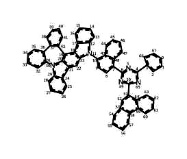 c1ccc(-c2nc(-c3ccc(-n4c5ccccc5c5c6c7c(cc54)c4ccccc4n7-c4ccccc4-c4ccccc4-6)c4ccccc34)nc(-c3cc4ccccc4c4ccccc34)n2)cc1